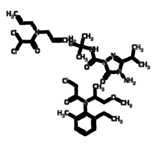 C=CCN(CC=C)C(=O)C(Cl)Cl.CC(C)c1nn(C(=O)NC(C)(C)C)c(=O)n1N.CCc1cccc(C)c1N(C(=O)CCl)C(C)COC